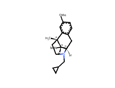 CN[C@H]1[C@H]2Cc3ccc(OC)cc3[C@@]1(C)CCN2CC1CC1